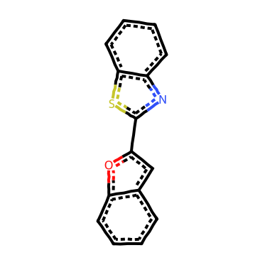 c1ccc2oc(-c3nc4ccccc4s3)cc2c1